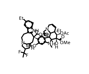 CCc1ccc2[nH]c3c(c2c1)CCN1CC(C(C)(F)F)C[C@@H](C1)C[C@]3(C(=O)OC)c1cc2c(cc1OC)N(C)[C@H]1[C@@](O)(C(=O)OC)[C@H](OC(C)=O)[C@]3(CC)C=CCN4CC[C@]21[C@@H]43